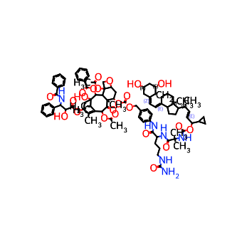 C=C1/C(=C\C=C2/CCC[C@@]3(C)C2CCC3[C@@H](C)/C=C/C(OC(=O)NC(C)(C)C(=O)NC(CCCNC(N)=O)C(=O)Nc2ccc(COC(=O)OC3CC4OCC4(OC(C)=O)C4C(OC(=O)c5ccccc5)C5(O)CC(OC(=O)C(O)C(NC(=O)c6ccccc6)c6ccccc6)C(C)=C(C(OC(C)=O)C(=O)C34C)C5(C)C)cc2)C2CC2)C[C@@H](O)C[C@@H]1O